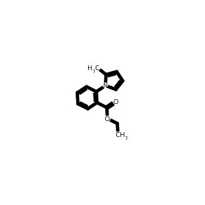 CCOC(=O)c1[c]cccc1-n1cccc1C